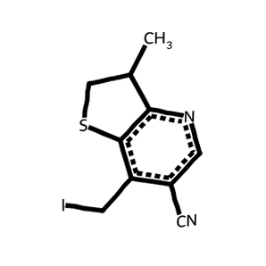 CC1CSc2c1ncc(C#N)c2CI